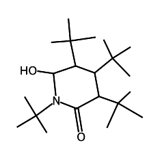 CC(C)(C)C1C(=O)N(C(C)(C)C)C(O)C(C(C)(C)C)C1C(C)(C)C